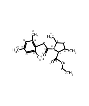 CCOC(=O)C1C(C)CC(C)N1C(=O)Cc1c(C)cc(C)cc1C